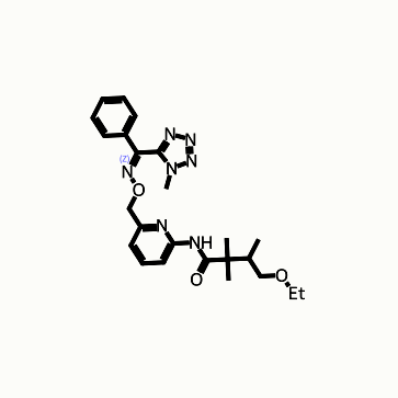 CCOCC(C)C(C)(C)C(=O)Nc1cccc(CO/N=C(/c2ccccc2)c2nnnn2C)n1